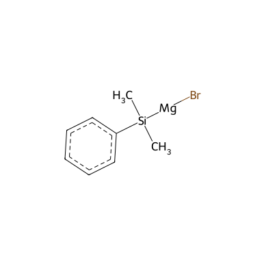 C[Si](C)([Mg][Br])c1ccccc1